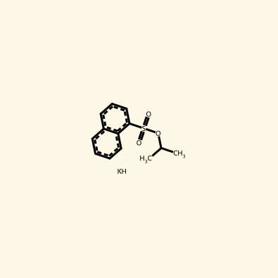 CC(C)OS(=O)(=O)c1cccc2ccccc12.[KH]